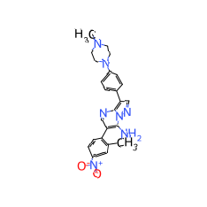 Cc1cc([N+](=O)[O-])ccc1-c1cnc2c(-c3ccc(N4CCN(C)CC4)cc3)cnn2c1N